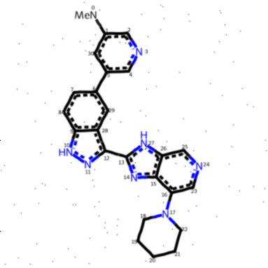 CNc1cncc(-c2ccc3[nH]nc(-c4nc5c(N6CCCCC6)cncc5[nH]4)c3c2)c1